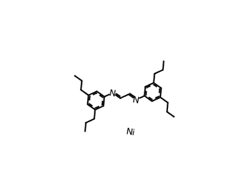 CCCc1cc(CCC)cc(N=CC=Nc2cc(CCC)cc(CCC)c2)c1.[Ni]